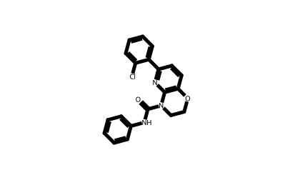 O=C(Nc1ccccc1)N1CCOc2ccc(-c3ccccc3Cl)nc21